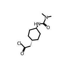 CN(C)C(=O)N[C@H]1CC[C@H](CC(=O)Cl)CC1